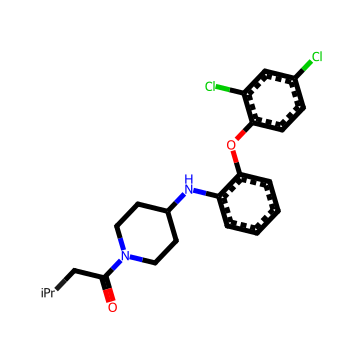 CC(C)CC(=O)N1CCC(Nc2ccccc2Oc2ccc(Cl)cc2Cl)CC1